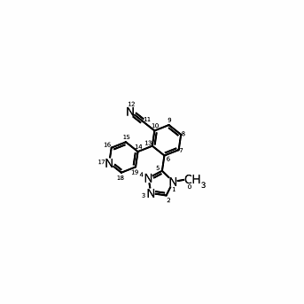 Cn1cnnc1-c1cccc(C#N)c1-c1ccncc1